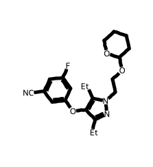 CCc1nn(CCOC2CCCCO2)c(CC)c1Oc1cc(F)cc(C#N)c1